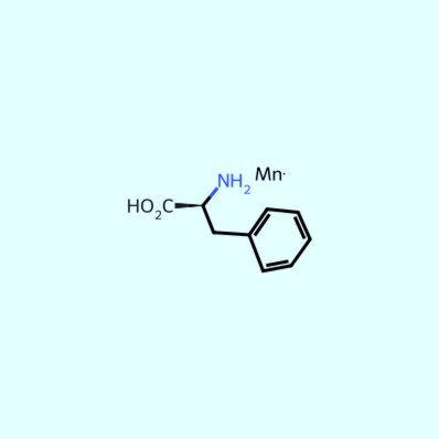 N[C@@H](Cc1ccccc1)C(=O)O.[Mn]